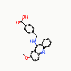 COc1ccc2nc3ccccc3c(NCc3ccc(C(=O)O)cc3)c2c1